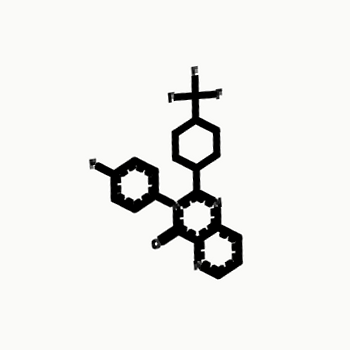 O=c1c2ncccc2nc(C2CCC(C(F)(F)F)CC2)n1-c1ccc(F)cc1